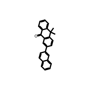 CC1(C)c2ccccc2C(=O)c2cc(-c3ccc4ccccc4c3)ccc21